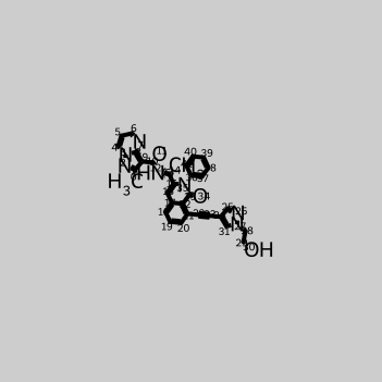 Cc1nn2cccnc2c1C(=O)N[C@@H](C)c1cc2cccc(C#Cc3cnn(CCO)c3)c2c(=O)n1-c1ccccc1